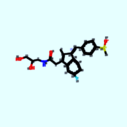 CC1=C(CC(=O)NCC(O)CO)c2cc(F)ccc2/C1=C\c1ccc([S+](C)[O-])cc1